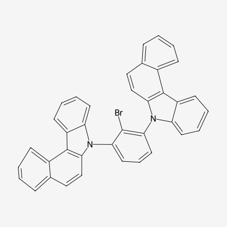 Brc1c(-n2c3ccccc3c3c4ccccc4ccc32)cccc1-n1c2ccccc2c2c3ccccc3ccc21